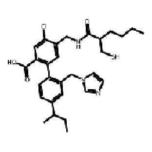 CCCCC(CS)C(=O)NCc1cc(-c2ccc(C(C)CC)cc2Cn2ccnc2)c(C(=O)O)cc1Cl